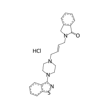 Cl.O=C1c2ccccc2CN1CC=CCN1CCN(c2nsc3ccccc23)CC1